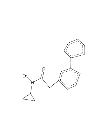 CCN(C(=O)Cc1cccc(-c2ccccc2)c1)C1CC1